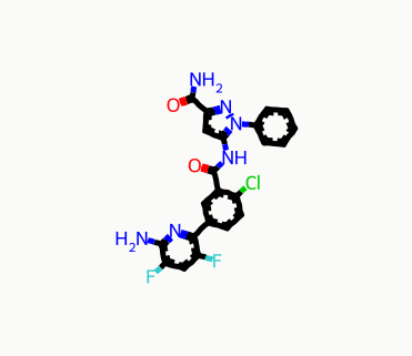 NC(=O)c1cc(NC(=O)c2cc(-c3nc(N)c(F)cc3F)ccc2Cl)n(-c2ccccc2)n1